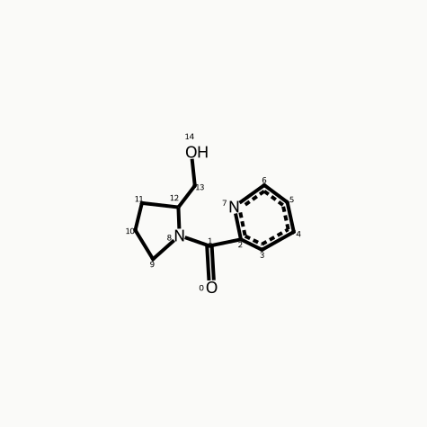 O=C(c1ccccn1)N1CCCC1CO